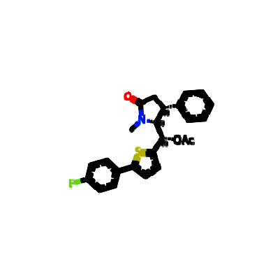 CC(=O)O[C@H](c1ccc(-c2ccc(F)cc2)s1)[C@H]1[C@@H](c2ccccc2)CC(=O)N1C